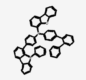 c1ccc(-c2ccccc2-c2ccc(N(c3ccc(-c4cccc5c6ccccc6n(-c6ccccc6)c45)cc3)c3cccc4c3oc3ccccc34)cc2)cc1